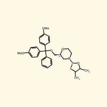 COc1ccc(C(OC[C@@H]2CN(P3OC(C)C(C)S3)CCO2)(c2ccccc2)c2ccc(OC)cc2)cc1